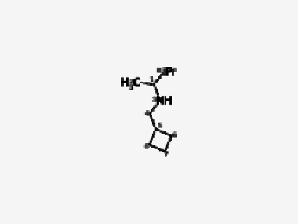 CC(C)C(C)NCC1CCC1